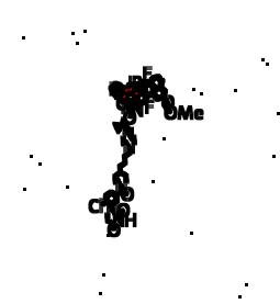 COCOc1cc(-c2ncc3c(N4CC5CCC(C4)N5C(=O)OC(C)(C)C)nc(OCC4(CN5CCN(CCCCC6CCN(C(=O)c7ccc(Cl)c(N8CCC(=O)NC8=O)c7)CC6)CC5)CC4)nc3c2F)c2c(C#C[Si](C(C)C)(C(C)C)C(C)C)c(F)ccc2c1